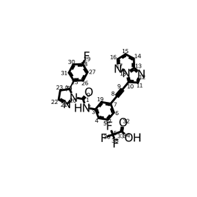 O=C(Nc1cccc(C#Cc2cnc3cccnn23)c1)N1N=CC[C@H]1c1ccc(F)cc1.O=C(O)C(F)(F)F